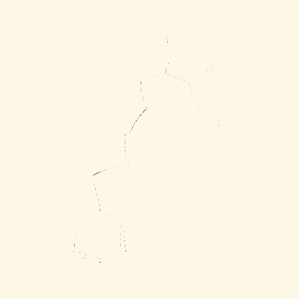 CC1C(F)OC(COCc2ccccc2)C(C)C1C